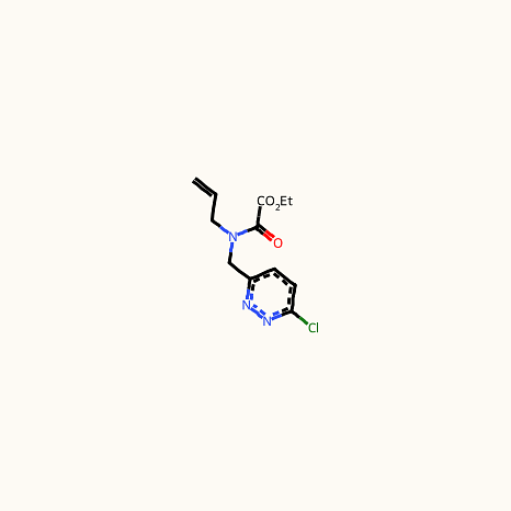 C=CCN(Cc1ccc(Cl)nn1)C(=O)C(=O)OCC